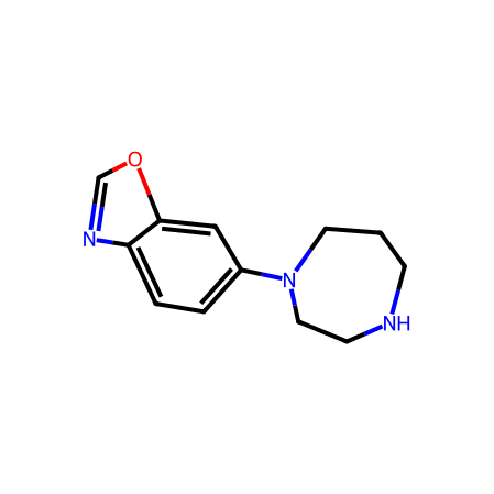 c1nc2ccc(N3CCCNCC3)cc2o1